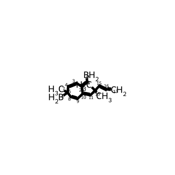 B/C=C1\C=CC(B)(C)C=C\C1=C\C(C)(C)C=C=C